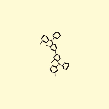 Cc1cccc(N(c2ccccc2)c2ccc(-c3ccc(N(c4ccccc4)c4cccc(C)c4)c(C)c3)cc2C)c1